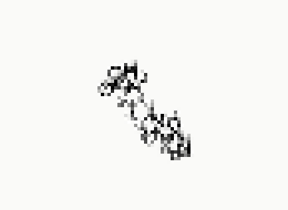 NC(CC1CCC(NC(=O)c2ccncn2)CC1)C(=O)O